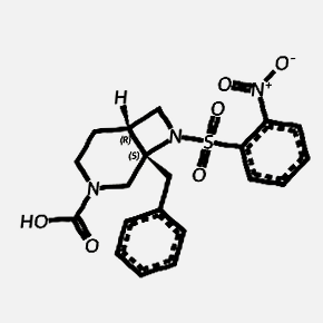 O=C(O)N1CC[C@@H]2CN(S(=O)(=O)c3ccccc3[N+](=O)[O-])[C@]2(Cc2ccccc2)C1